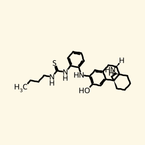 CCCCNC(=S)Nc1ccccc1Nc1cc2c(cc1O)[C@@]13CCCC[C@H]1[C@@H](C2)NCC3